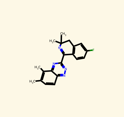 Cc1ccc2nnc(C3=NC(C)(C)Cc4cc(F)ccc43)nc2c1C